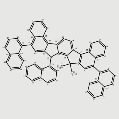 CC1(C)c2cc(-c3cccc4ccccc34)c3ccccc3c2-c2ccc3c4c5ccccc5c(-c5cccc6ccccc56)cc4n(-c4cccc5ccccc45)c3c21